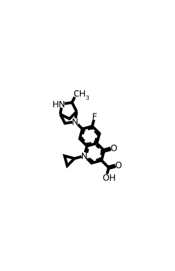 CC1NC2CC1N(c1cc3c(cc1F)c(=O)c(C(=O)O)cn3C1CC1)C2